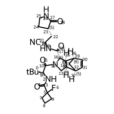 CC(C)(C)[C@H](NC(=O)C1(F)CCC1)C(=O)N1C[C@H]2[C@@H]([C@H]1C(=O)N[C@H](C#N)C[C@@H]1CCNC1=O)[C@H]1C=C[C@@H]2C1